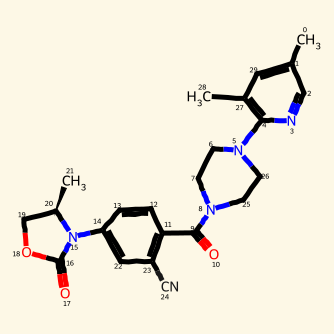 Cc1cnc(N2CCN(C(=O)c3ccc(N4C(=O)OC[C@H]4C)cc3C#N)CC2)c(C)c1